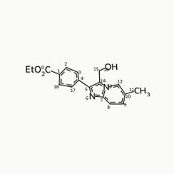 CCOC(=O)c1ccc(-c2nc3ccc(C)cn3c2CO)cc1